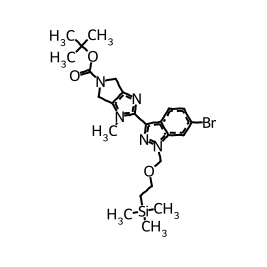 Cn1c(-c2nn(COCC[Si](C)(C)C)c3cc(Br)ccc23)nc2c1CN(C(=O)OC(C)(C)C)C2